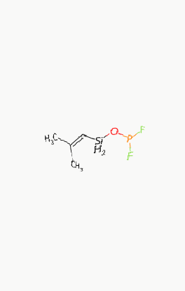 CC(C)=C[SiH2]OP(F)F